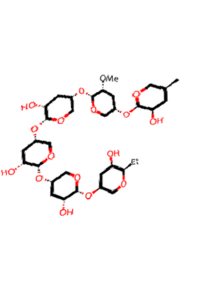 CC[C@H]1OC[C@@H](O[C@H]2OC[C@@H](O[C@H]3OC[C@@H](O[C@H]4OC[C@@H](O[C@H]5OC[C@@H](O[C@H]6OC[C@@H](C)C[C@H]6O)C[C@H]5OC)C[C@H]4O)C[C@H]3O)C[C@H]2O)C[C@H]1O